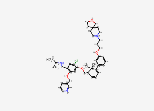 CC(NCc1cc(Cl)c(OCC2C=CC=C(c3cccc(OCCCN4CCC5(CCOC5)CC4)c3)C2(C)C)cc1OCc1cccnc1)C(=O)O